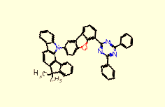 CC1(C)c2ccccc2-c2c1ccc1c3ccccc3n(-c3ccc4oc5c(-c6nc(-c7ccccc7)nc(-c7ccccc7)n6)cccc5c4c3)c21